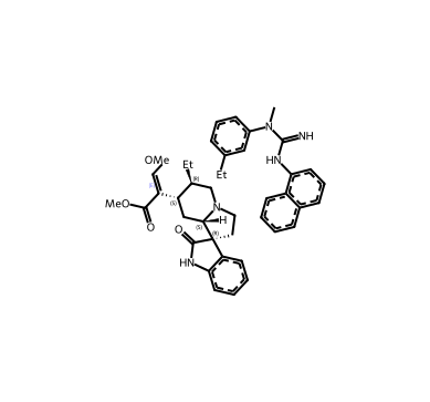 CC[C@H]1CN2CC[C@]3(C(=O)Nc4ccccc43)[C@@H]2C[C@@H]1/C(=C\OC)C(=O)OC.CCc1cccc(N(C)C(=N)Nc2cccc3ccccc23)c1